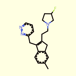 Cc1ccc2c(c1)CC(CCN1CCC(F)C1)=C2Cc1cccnn1